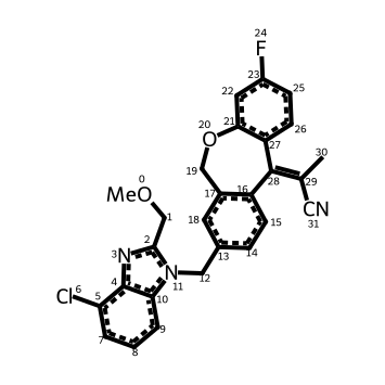 COCc1nc2c(Cl)cccc2n1Cc1ccc2c(c1)COc1cc(F)ccc1C2=C(C)C#N